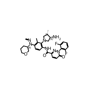 C=NN(c1ccc(NC(=O)c2ccc(=O)n(-c3c(F)cccc3F)n2)c(N2C[C@H](C)[C@@H](N)C2)c1C)[C@@H]1CCCOC1